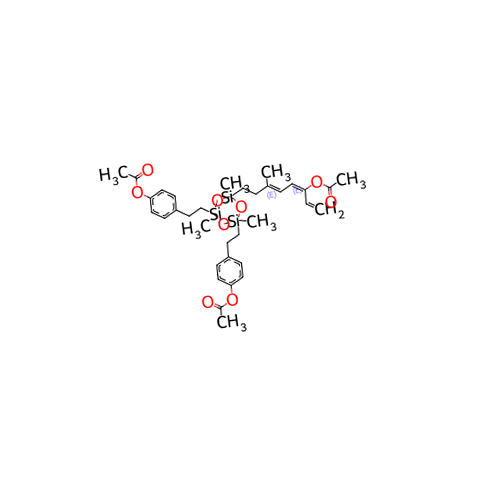 C=C/C(=C\C=C(/C)CC[Si]1(C)O[Si](C)(CCc2ccc(OC(C)=O)cc2)O[Si](C)(CCc2ccc(OC(C)=O)cc2)O1)OC(C)=O